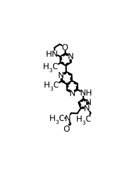 CCn1nc(Nc2cc3cc(-c4cnc5c(c4C)NCCO5)nc(C)c3cn2)cc1CCN(C)C=O